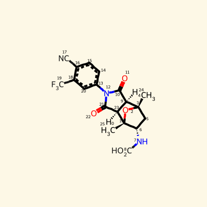 C[C@@]12O[C@@](C)(C[C@@H]1NC(=O)O)[C@@H]1C(=O)N(c3ccc(C#N)c(C(F)(F)F)c3)C(=O)[C@@H]12